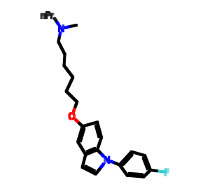 CCCN(C)CCCCCCOc1ccc2c(ccn2-c2ccc(F)cc2)c1